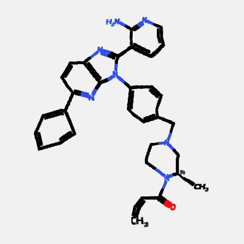 C=CC(=O)N1CCN(Cc2ccc(-n3c(-c4cccnc4N)nc4ccc(-c5ccccc5)nc43)cc2)C[C@H]1C